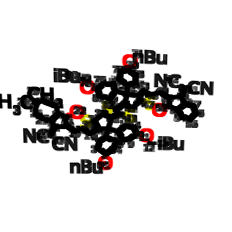 CCCCOc1ccc(C2(c3ccc(OC[C@H](C)CC)cc3)c3cc(/C=C4\C(=O)C5=C(C=CC(C)(C)C=C5)C4=C(C#N)C#N)sc3-c3sc4c5c(sc4c32)-c2sc(/C=C3\C(=O)c4ccccc4C3=C(C#N)C#N)cc2C5(c2ccc(OCCCC)cc2)c2ccc(OC[C@H](C)CC)cc2)cc1